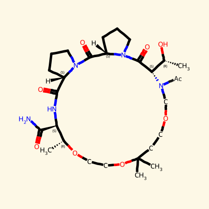 CC(=O)N1COCCC(C)(C)OCCO[C@H](C)[C@@H](C(N)=O)NC(=O)[C@@H]2CCCN2C(=O)[C@@H]2CCCN2C(=O)[C@@H]1[C@@H](C)O